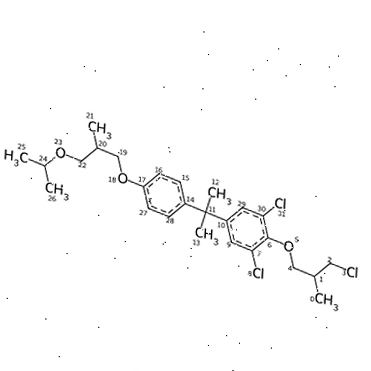 CC(CCl)COc1c(Cl)cc(C(C)(C)c2ccc(OCC(C)COC(C)C)cc2)cc1Cl